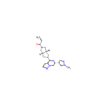 C=CC(=O)N1C[C@H]2CC(c3nc(-c4cnn(C)c4)cn4nccc34)C[C@H]2C1